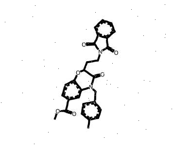 COC(=O)c1ccc2c(c1)N(Cc1ccc(C)cc1)C(=O)C(CCN1C(=O)c3ccccc3C1=O)O2